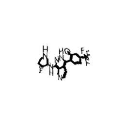 Oc1cc(C(F)(F)F)ccc1-c1nnc(N[C@H]2CNCC[C@H]2F)c2cnccc12